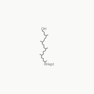 CCCCCCCC(C)CCCC(C)CCCC(C)CCCC(C)CCCC(C)CCCO